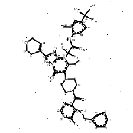 CCc1c(N2CCN(C(=O)c3ncnc(C)c3OCc3ccccc3)CC2)c(=O)n2nc(C3=CCOCC3)nc2n1C(F)(F)C(=O)Nc1ccc(C(F)(F)F)cc1Cl